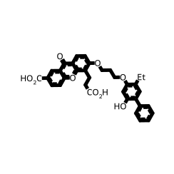 CCc1cc(-c2ccccc2)c(O)cc1OCCCOc1ccc2c(=O)c3cc(C(=O)O)ccc3oc2c1CCC(=O)O